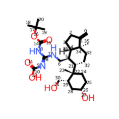 C=C1CC[C@H]2[C@H](CNC(=NC(=O)O)NC(=O)OC(C)(C)C)[C@@H]([C@]3(C)CC[C@H](O)C[C@@H]3CO)CC[C@]12C